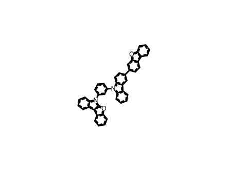 c1cc(-n2c3ccccc3c3cc(-c4ccc5c(c4)oc4ccccc45)ccc32)cc(-n2c3ccccc3c3c4ccccc4oc32)c1